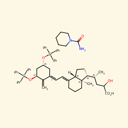 C=C1/C(=C/C=C2CCC[C@]3(C)[C@@H]([C@H](C)CC(O)C(=O)O)CC[C@@H]23)C[C@@H](O[Si](C(C)C)(C(C)C)C(C)C)C[C@@H]1O[Si](C(C)C)(C(C)C)C(C)C.NC(=O)N1CCCCC1